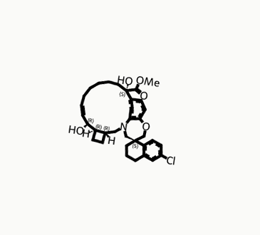 COC(=O)[C@]1(O)CCCCCC=C[C@H](O)[C@@H]2CC[C@H]2CN2C[C@@]3(CCCc4cc(Cl)ccc43)COc3ccc1cc32